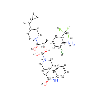 CC(C1CC1)C1CCN(C(=O)[C@@H](Cc2cc(Cl)c(N)c(C(F)(F)F)c2)OC(=O)N2CCC3(CC2)CC(=O)Nc2ccccc23)CC1